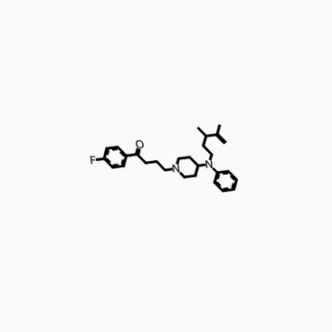 C=C(C)C(C)CCN(c1ccccc1)C1CCN(CCCC(=O)c2ccc(F)cc2)CC1